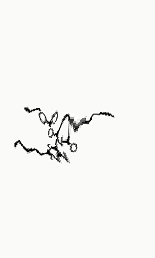 CCCCCc1nnc(N2C(=O)N(CCCC)CCC2OC(=O)OCCC)s1